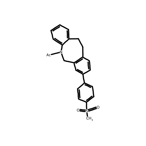 CC(=O)N1Cc2cc(-c3ccc(S(C)(=O)=O)cc3)ccc2CCc2ccccc21